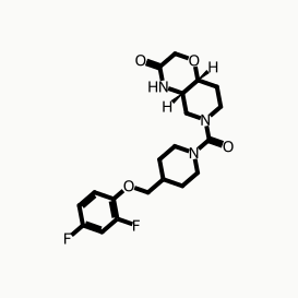 O=C1CO[C@@H]2CCN(C(=O)N3CCC(COc4ccc(F)cc4F)CC3)C[C@@H]2N1